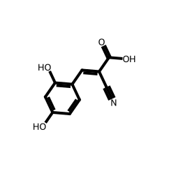 N#C/C(=C\c1ccc(O)cc1O)C(=O)O